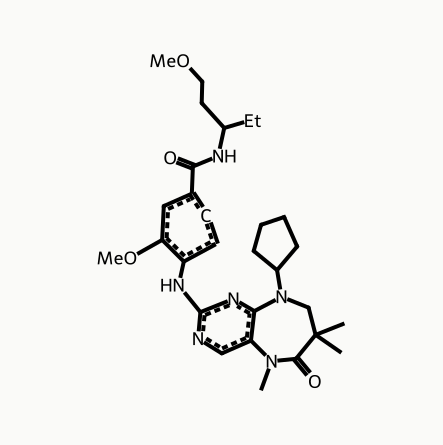 CCC(CCOC)NC(=O)c1ccc(Nc2ncc3c(n2)N(C2CCCC2)CC(C)(C)C(=O)N3C)c(OC)c1